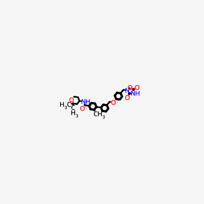 Cc1cc(C(=O)NC2CCOC(C)(C)C2)ccc1-c1cccc(COc2ccc(Cn3oc(=O)[nH]c3=O)cc2)c1